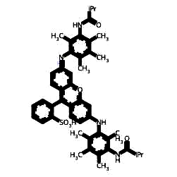 Cc1c(C)c(/N=c2/ccc3c(-c4ccccc4S(=O)(=O)O)c4ccc(Nc5c(C)c(C)c(C)c(NC(=O)C(C)C)c5C)cc4oc-3c2)c(C)c(NC(=O)C(C)C)c1C